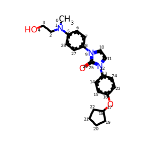 CN(CCO)c1ccc(-n2ccn(-c3ccc(OC4CCCC4)cc3)c2=O)cc1